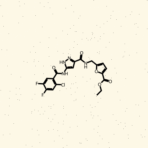 CCOC(=O)c1ccc(CNC(=O)c2cc(NC(=O)c3cc(F)c(F)cc3Cl)[nH]n2)o1